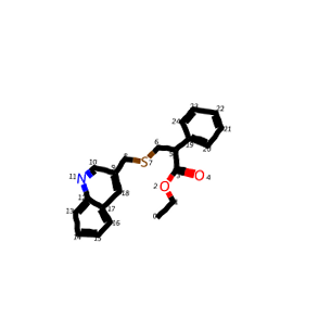 CCOC(=O)C(CSCc1cnc2ccccc2c1)c1ccccc1